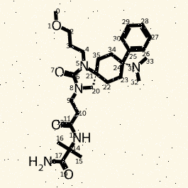 COCCCN1C(=O)N(CCC(=O)NC(C)(C)C(N)=O)C[C@]12CC[C@@](c1ccccc1)(N(C)C)CC2